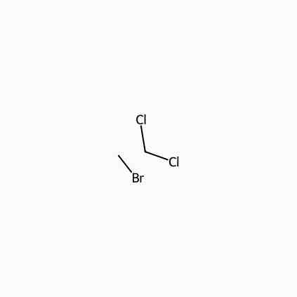 CBr.ClCCl